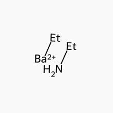 CCN.C[CH2][Ba+2]